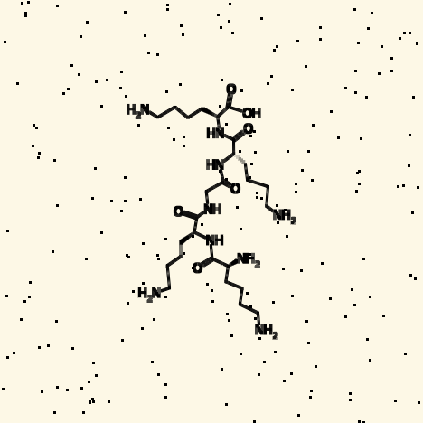 NCCCC[C@H](NC(=O)[C@H](CCCCN)NC(=O)CNC(=O)[C@H](CCCCN)NC(=O)[C@@H](N)CCCCN)C(=O)O